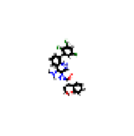 CN(C)c1c(NC(=O)[C@@H]2CCOc3ccccc32)cnc2c(-c3cc(F)cc(F)c3F)cccc12